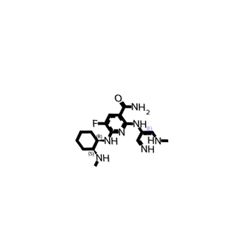 CN/C=C(\C=N)Nc1nc(N[C@@H]2CCCC[C@@H]2NC)c(F)cc1C(N)=O